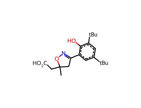 CC1(CC(=O)O)CC(c2cc(C(C)(C)C)cc(C(C)(C)C)c2O)=NO1